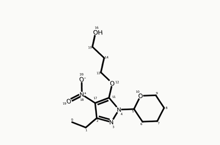 CCc1nn(C2CCCCO2)c(OCCCO)c1[N+](=O)[O-]